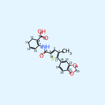 Cc1cc(C(=O)NC2=C(C(=O)O)CCC=C2)sc1-c1ccc2c(c1)OCO2